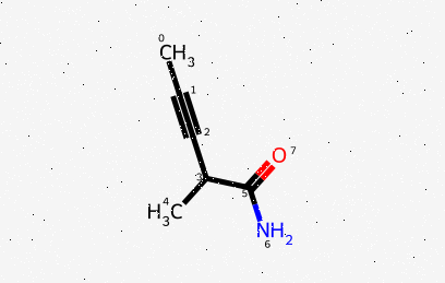 CC#CC(C)C(N)=O